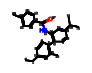 CCc1ccc(-c2ccc(C(C)C)cc2NC(=O)c2ccc(C)cc2)c(C)c1